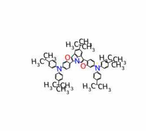 CC(C)c1ccc(N(c2ccc(C(C)(C)C)cc2)c2ccc3c(c2)oc2c3c3cc(C(C)(C)C)cc4c5oc6cc(N(c7ccc(C(C)C)cc7)c7ccc(C(C)(C)C)cc7)ccc6c5n2c43)cc1